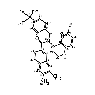 Cc1cc2cc(C(=O)N(Cc3ccc(C(F)(F)F)nn3)C3CCOc4ccc(F)nc43)ccc2nc1N